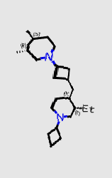 CC[C@H]1CN(C2CCC2)CC[C@H]1CC1CC(N2CC[C@H](C)[C@@H](C)C2)C1